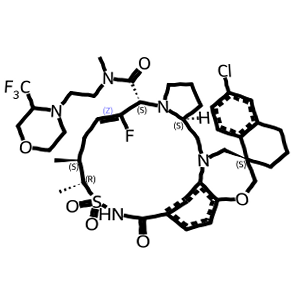 C[C@@H]1[C@@H](C)C/C=C(\F)[C@H](C(=O)N(C)CCN2CCOCC2C(F)(F)F)N2CCC[C@H]2CN2C[C@@]3(CCCc4cc(Cl)ccc43)COc3ccc(cc32)C(=O)NS1(=O)=O